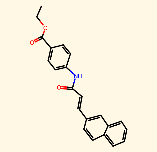 CCOC(=O)c1ccc(NC(=O)C=Cc2ccc3ccccc3c2)cc1